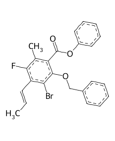 C/C=C/c1c(F)c(C)c(C(=O)Oc2ccccc2)c(OCc2ccccc2)c1Br